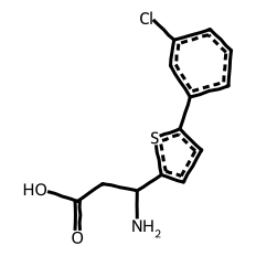 NC(CC(=O)O)c1ccc(-c2cccc(Cl)c2)s1